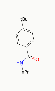 CCCNC(=O)c1ccc(C(C)(C)C)cc1